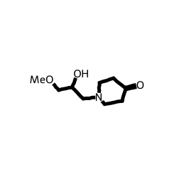 COCC(O)CN1CCC(=O)CC1